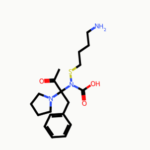 CC(=O)C(Cc1ccccc1)(N1CCCC1)N(SCCCCN)C(=O)O